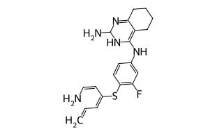 C=C/C=C(\C=C/N)Sc1ccc(NC2=C3CCCCC3=NC(N)N2)cc1F